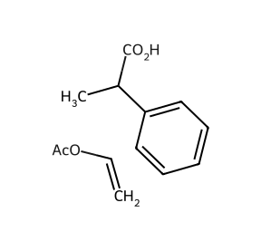 C=COC(C)=O.CC(C(=O)O)c1ccccc1